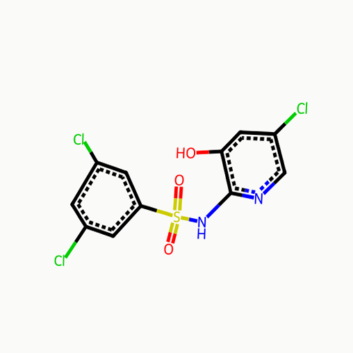 O=S(=O)(Nc1ncc(Cl)cc1O)c1cc(Cl)cc(Cl)c1